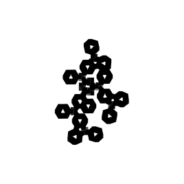 c1ccc(N(c2ccc3c(c2)c2ccccc2n3-c2ccccc2)c2nc(-c3ccc(N(c4ccccc4)c4ccc5c(c4)c4ccccc4n5-c4ccccc4)c4ccccc34)nc(N(c3ccccc3)c3ccc4c(c3)c3ccccc3n4-c3ccccc3)n2)cc1